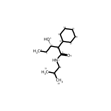 CC[C@H](O)C(C(=O)NCC(C)C)C1CCCCC1